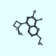 CSc1ncc2c(N3CC[C@@H]3C)nc(Cl)c(F)c2n1